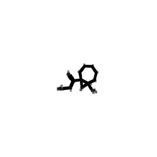 CCCCOC(=O)C12CCCCCC1(C)O2